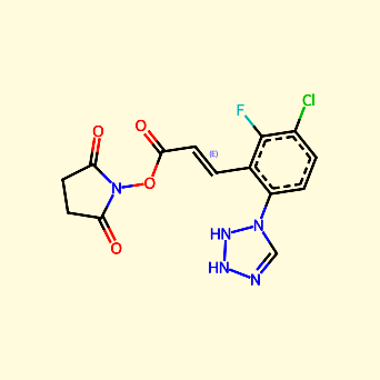 O=C(/C=C/c1c(N2C=NNN2)ccc(Cl)c1F)ON1C(=O)CCC1=O